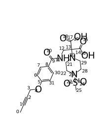 CC#CCOc1ccc(C(=O)NCC(C(=O)O)(C(=O)O)N2CCN(S(C)(=O)=O)CC2)cc1